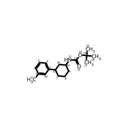 Cc1cccc(C2CCCC(NC(=O)OC(C)(C)C)C2)c1